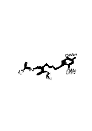 C=C(NCCCC)/C(=C\N=C(/C)N)CCCCc1cc(OC)c(C)cc1OC